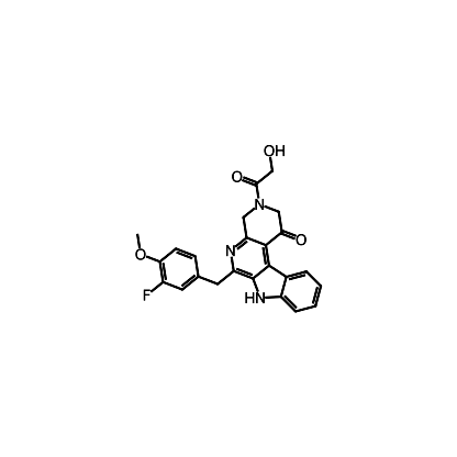 COc1ccc(Cc2nc3c(c4c2[nH]c2ccccc24)C(=O)CN(C(=O)CO)C3)cc1F